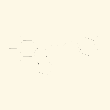 Cc1csc2c1c1c(n2CCCc2cccc(Cl)c2)CC(C)N(C)C1C